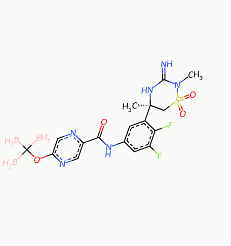 BC(B)(B)Oc1cnc(C(=O)Nc2cc(F)c(F)c([C@]3(C)CS(=O)(=O)N(C)C(=N)N3)c2)cn1